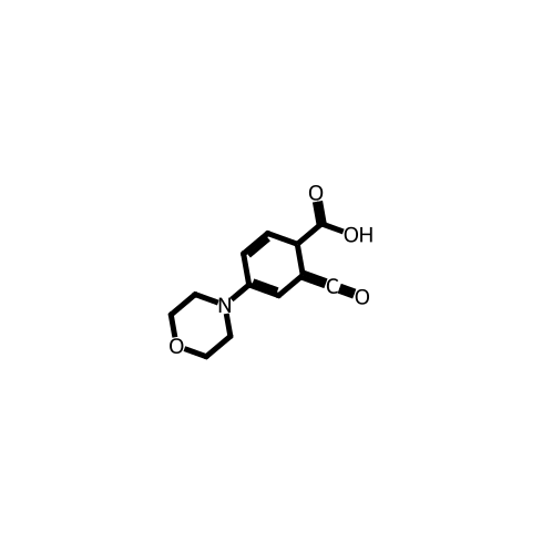 O=C=C1C=C(N2CCOCC2)C=CC1C(=O)O